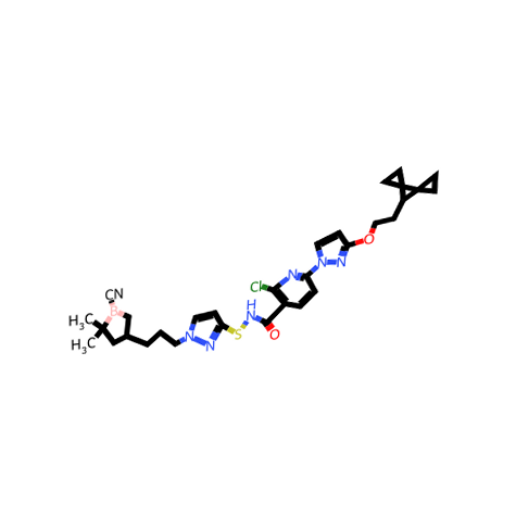 CC1(C)CC(CCCn2ccc(SNC(=O)c3ccc(-n4ccc(OCCC5C6(CC6)C56CC6)n4)nc3Cl)n2)CB1C#N